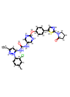 Cc1ccc(-n2nc(C(C)(C)C)cc2NC(=O)Nc2cnc(Oc3ccc(-c4cnc(N5CCCC5=O)s4)cc3)nc2)c(Cl)c1